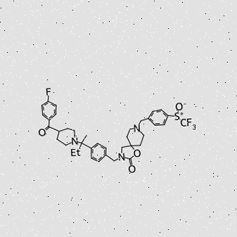 CCC(C)(c1ccc(CN2CC3(CCN(Cc4ccc([S+]([O-])C(F)(F)F)cc4)CC3)OC2=O)cc1)N1CCC(C(=O)c2ccc(F)cc2)CC1